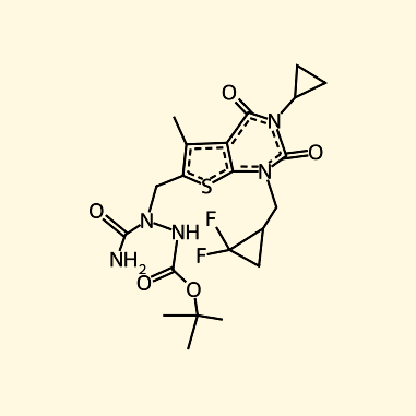 Cc1c(CN(NC(=O)OC(C)(C)C)C(N)=O)sc2c1c(=O)n(C1CC1)c(=O)n2CC1CC1(F)F